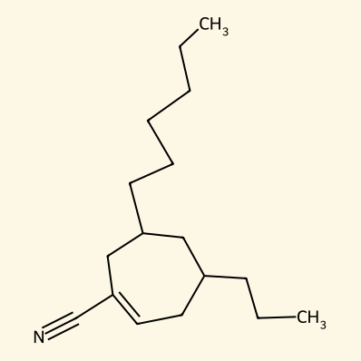 CCCCCCC1CC(C#N)=CCC(CCC)C1